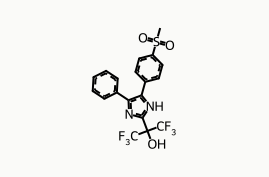 CS(=O)(=O)c1ccc(-c2[nH]c(C(O)(C(F)(F)F)C(F)(F)F)nc2-c2ccccc2)cc1